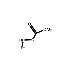 CCPOC(=O)OC